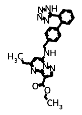 CCOC(=O)c1cnn2c(NCc3ccc(-c4ccccc4-c4nnn[nH]4)cc3)cc(CC)nc12